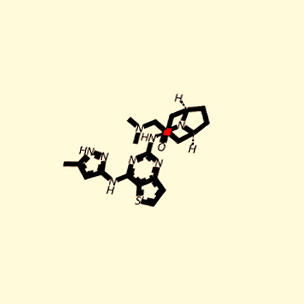 Cc1cc(Nc2nc(N[C@H]3C[C@H]4CC[C@@H](C3)N4C(=O)CN(C)C)nc3ccsc23)n[nH]1